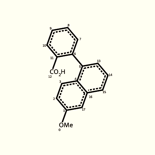 COc1ccc2c(-c3ccccc3C(=O)O)cccc2c1